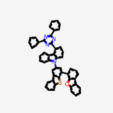 c1ccc(-c2nc(-c3ccccc3)nc(-c3cccc4c3c3ccccc3n4-c3cc(-c4cccc5c4oc4ccccc45)c4sc5ccccc5c4c3)n2)cc1